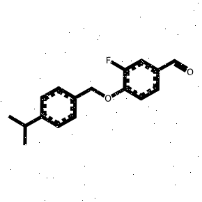 CC(C)c1ccc(COc2ccc(C=O)cc2F)cc1